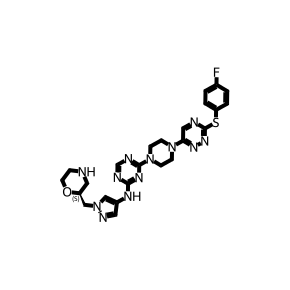 Fc1ccc(Sc2ncc(N3CCN(c4ncnc(Nc5cnn(C[C@@H]6CNCCO6)c5)n4)CC3)nn2)cc1